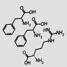 N=C(N)NCCC[C@H](N)C(=O)O.N[C@@H](Cc1ccccc1)C(=O)O.N[C@@H](Cc1ccccc1)C(=O)O